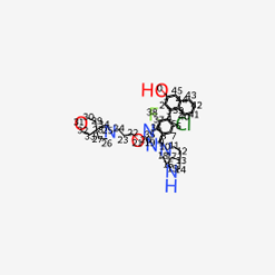 Oc1cc(-c2c(Cl)cc3c(N4CCC5CNC(C5)C4)nc(OCCCN4CCC5(CCOCC5)C4)nc3c2F)c2ccccc2c1